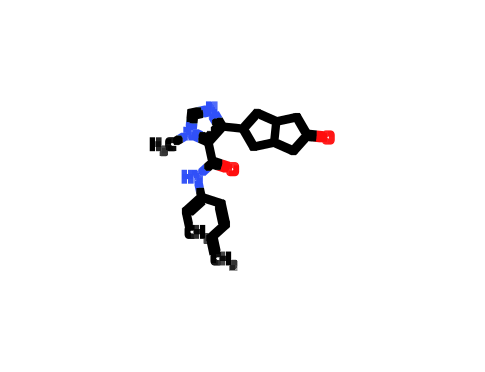 C=C/C=C\C(=C/C)NC(=O)c1c(C2CC3CC(=O)CC3C2)ncn1C